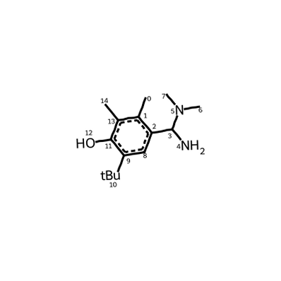 Cc1c(C(N)N(C)C)cc(C(C)(C)C)c(O)c1C